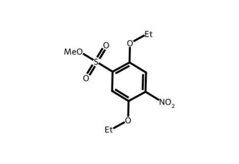 CCOc1cc(S(=O)(=O)OC)c(OCC)cc1[N+](=O)[O-]